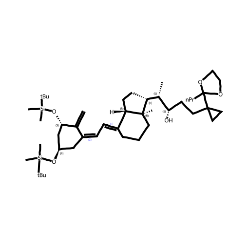 C=C1/C(=C\C=C2/CCC[C@]3(C)[C@@H]([C@H](C)[C@@H](O)CCC4(C5(CCC)OCCO5)CC4)CC[C@@H]23)C[C@@H](O[Si](C)(C)C(C)(C)C)C[C@@H]1O[Si](C)(C)C(C)(C)C